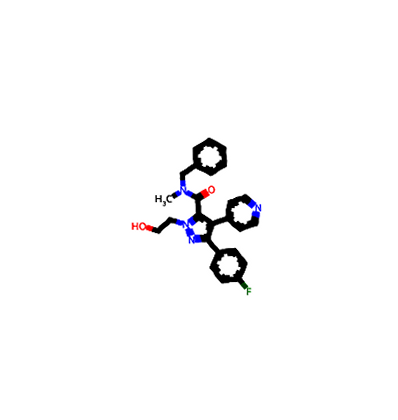 CN(Cc1ccccc1)C(=O)c1c(-c2ccncc2)c(-c2ccc(F)cc2)nn1CCO